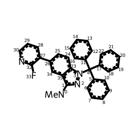 CNc1nn(C(c2ccccc2)(c2ccccc2)c2ccccc2)c2ccc(-c3cccnc3F)cc12